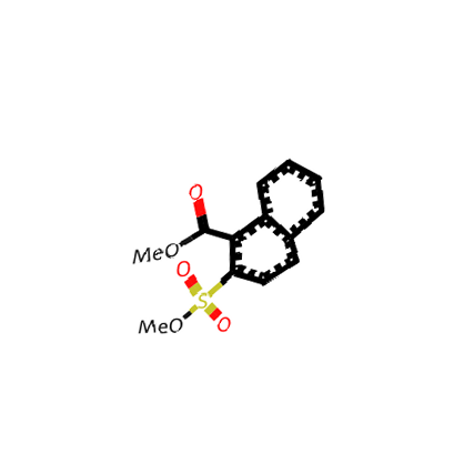 COC(=O)c1c(S(=O)(=O)OC)ccc2ccccc12